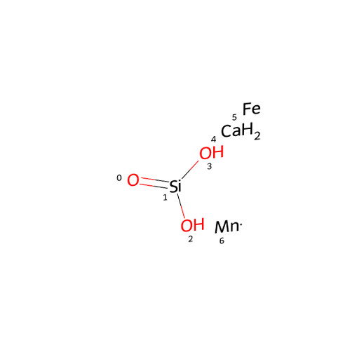 O=[Si](O)O.[CaH2].[Fe].[Mn]